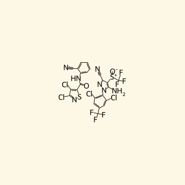 N#Cc1ccccc1NC(=O)c1snc(Cl)c1Cl.N#Cc1nn(-c2c(Cl)cc(C(F)(F)F)cc2Cl)c(N)c1[S+]([O-])C(F)(F)F